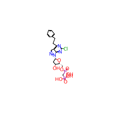 O=P(O)(O)CP(=O)(O)OC[C@H]1O[C@@H](n2ncc3c(CCc4ccccc4)nc(Cl)nc32)C[C@@H]1O